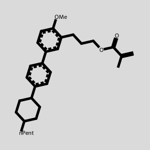 C=C(C)C(=O)OCCCc1cc(-c2ccc(C3CCC(CCCCC)CC3)cc2)ccc1OC